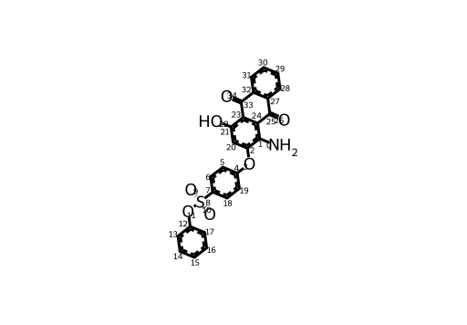 Nc1c(Oc2ccc(S(=O)(=O)Oc3ccccc3)cc2)cc(O)c2c1C(=O)c1ccccc1C2=O